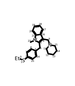 CCSc1ccc(Cc2c(CN3CCCCC3)c3ccccc3n2C)cc1